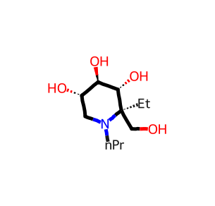 CCCN1C[C@H](O)[C@@H](O)[C@H](O)[C@@]1(CC)CO